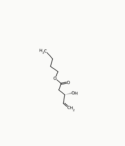 C=C[C@@H](O)CC(=O)OCCCC